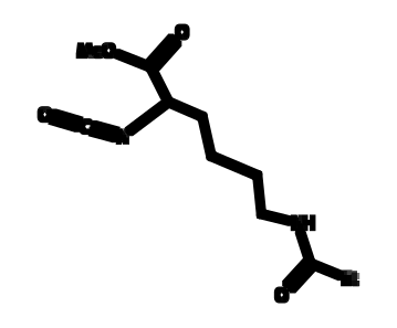 CCC(=O)NCCCCC(N=C=O)C(=O)OC